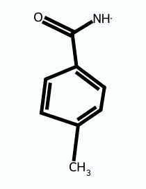 Cc1ccc(C([NH])=O)cc1